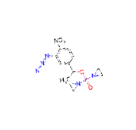 CC(OP(=O)(N1CC1)N1CC1)c1ccc([N+](=O)[O-])c(N=[N+]=[N-])c1